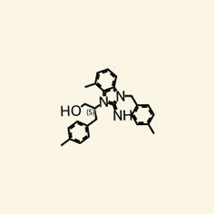 Cc1ccc(C[C@@H](CO)n2c(=N)n(Cc3ccc(C)cc3)c3cccc(C)c32)cc1